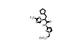 CCOC(=O)Cn1ccc(NC(=O)C(CC2CCCC2)n2cnc(C(F)(F)F)n2)n1